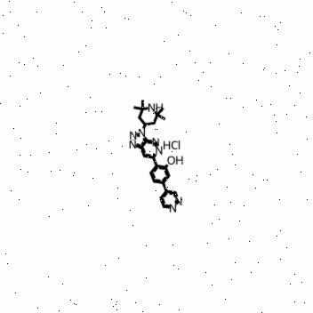 CC1(C)CC(n2nnc3cc(-c4ccc(-c5ccnnc5)cc4O)nnc32)CC(C)(C)N1.Cl